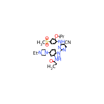 C=CC(=O)Nc1cc(N2CCN(CC)CC2)ccc1Nc1ncc(C#N)c(Nc2ccc(S(C)(=O)=O)cc2OC(C)C)n1